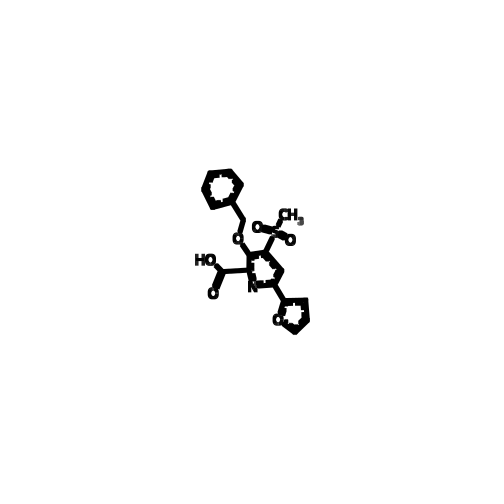 CS(=O)(=O)c1cc(-c2ccco2)nc(C(=O)O)c1OCc1ccccc1